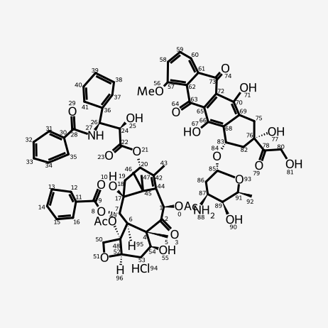 CC(=O)O[C@H]1C(=O)[C@@]2(C)[C@H]([C@H](OC(=O)c3ccccc3)[C@]3(O)C[C@H](OC(=O)[C@H](O)[C@@H](NC(=O)c4ccccc4)c4ccccc4)C(C)=C1C3(C)C)[C@]1(OC(C)=O)CO[C@@H]1C[C@@H]2O.COc1cccc2c1C(=O)c1c(O)c3c(c(O)c1C2=O)C[C@@](O)(C(=O)CO)C[C@@H]3O[C@H]1C[C@H](N)[C@H](O)[C@H](C)O1.Cl